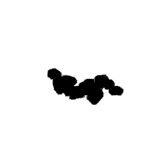 c1ccc(-c2ccc3oc4ccc(-c5c6ccccc6c(-c6cccc7c6sc6cc(-c8c9ccccc9c(-c9ccccc9)c9ccccc89)ccc67)c6ccccc56)cc4c3c2)cc1